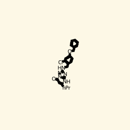 CCCc1cc(=O)n2nc(NCc3ccc(OCc4ccccc4)cc3Cl)nc2[nH]1